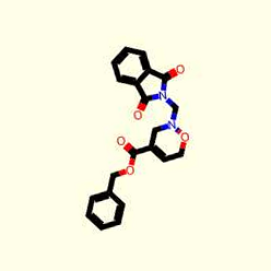 O=C(OCc1ccccc1)C1=CCON(CN2C(=O)c3ccccc3C2=O)C1